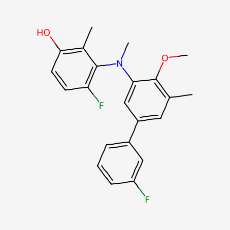 COc1c(C)cc(-c2cccc(F)c2)cc1N(C)c1c(F)ccc(O)c1C